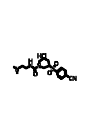 CN(C)CCNC(=O)N1CCCC(S(=O)(=O)c2ccc(C#N)cc2)C1.Cl